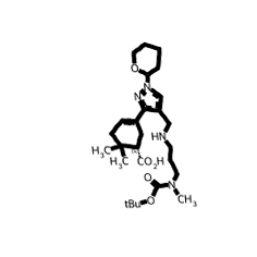 CN(CCCNCc1cn(C2CCCCO2)nc1C1=CCC(C)(C)[C@@H](C(=O)O)C1)C(=O)OC(C)(C)C